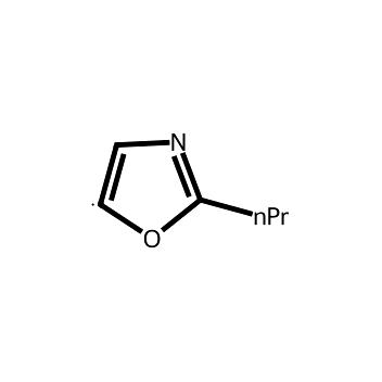 CCCc1nc[c]o1